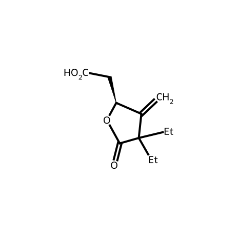 C=C1[C@H](CC(=O)O)OC(=O)C1(CC)CC